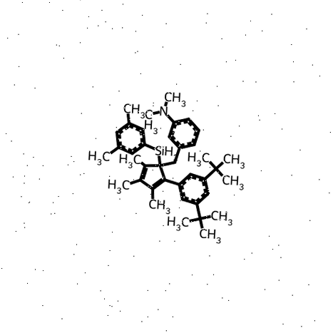 CC1=C(C)C(Cc2cccc(N(C)C)c2)([SiH2]c2cc(C)cc(C)c2)C(c2cc(C(C)(C)C)cc(C(C)(C)C)c2)=C1C